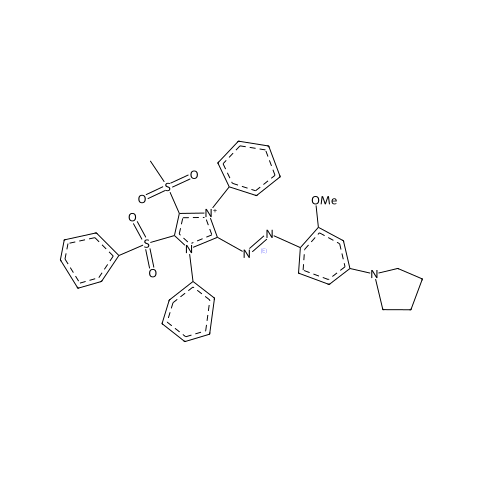 COc1cc(N2CCCC2)ccc1/N=N/c1n(-c2ccccc2)c(S(=O)(=O)c2ccccc2)c(S(C)(=O)=O)[n+]1-c1ccccc1